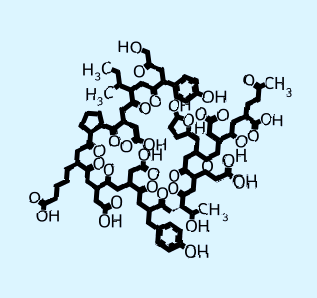 CCC(C)C(CC(=O)C(CC(=O)CO)c1ccc(O)cc1)C(=O)CC(CC(=O)O)C(=O)C1CCCC1C(=O)CC(CCCCC(=O)O)C(=O)CC(CC(=O)O)C(=O)CC(CC(=O)O)C(=O)CC(Cc1ccc(O)cc1)C(=O)C[C@H](C(=O)CC(CCC(=O)O)C(=O)CC(CC1CCC(O)O1)C(=O)CC(CC(=O)O)C(O)CC(CCC(C)=O)C(=O)O)C(C)O